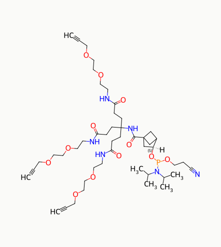 C#CCOCCOCCNC(=O)CCC(CCC(=O)NCCOCCOCC#C)(CCC(=O)NCCOCCOCC#C)NC(=O)C12CC(C1)[C@@H](OP(OCCC#N)N(C(C)C)C(C)C)C2